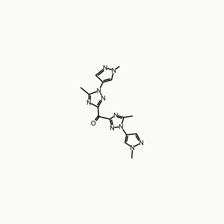 Cc1nc(C(=O)c2nc(C)n(-c3cnn(C)c3)n2)nn1-c1cnn(C)c1